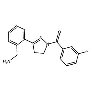 NCc1ccccc1C1=NN(C(=O)c2cccc(F)c2)CC1